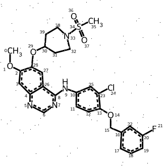 COc1cc2ncnc(Nc3ccc(OCc4cccc(F)c4)c(Cl)c3)c2cc1OC1CCN(S(C)(=O)=O)CC1